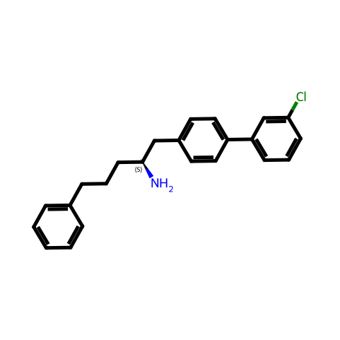 N[C@@H](CCCc1ccccc1)Cc1ccc(-c2cccc(Cl)c2)cc1